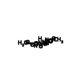 COCCOc1ccc(NC(=O)c2ccn3c(n2)nc2cc(OC)ccc23)cn1